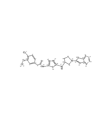 O=C(Cc1ccc(Cl)c(OC(F)(F)F)c1)Nc1nnc(NC2CCN(c3nc4ncccc4s3)C2)s1